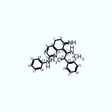 CN/C(=C1\C(=N)CCc2cnc(Nc3ccccc3)nc21)C(C)c1ccccc1